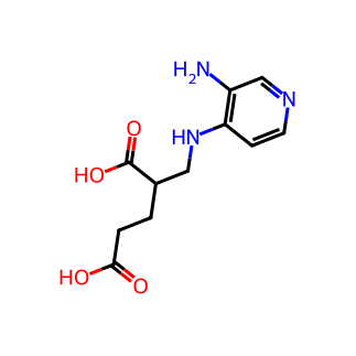 Nc1cnccc1NCC(CCC(=O)O)C(=O)O